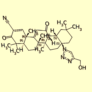 CC1(C)CC[C@]2(n3cc(CO)nn3)CC[C@]3(C)[C@H](C(=O)C=C4[C@@]5(C)C=C(C#N)C(=O)C(C)(C)[C@@H]5CC[C@]43C)[C@@H]2C1